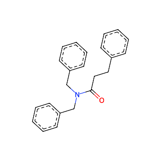 O=C(CCc1ccccc1)N(Cc1ccccc1)Cc1ccccc1